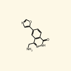 NCc1n[nH]c(=O)c2ccc(-c3cnco3)cc12